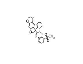 CS(=O)(=O)c1cccnc1CC1C(=O)C2(COc3cc4c(cc32)OCCO4)c2ccccc21